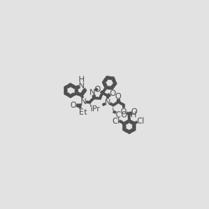 CCC(=O)N(c1c[nH]c2ccccc12)[C@H](C1=NOC(C(=O)N(C)[C@@H](CC(=O)O)C(=O)COC(=O)c2c(Cl)cccc2Cl)(c2ccccc2)C1)C(C)C